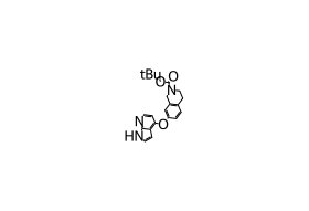 CC(C)(C)OC(=O)N1CCc2ccc(Oc3ccnc4[nH]ccc34)cc2C1